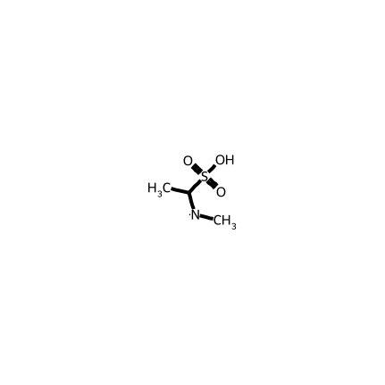 C[N]C(C)S(=O)(=O)O